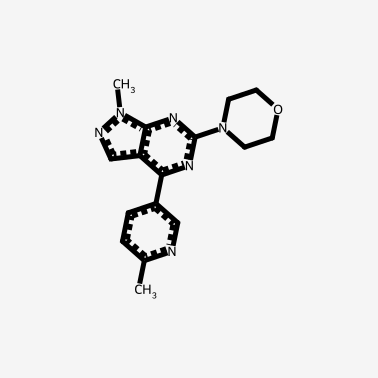 Cc1ccc(-c2nc(N3CCOCC3)nc3c2cnn3C)cn1